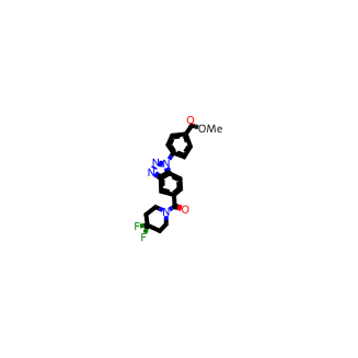 COC(=O)c1ccc(-n2nnc3cc(C(=O)N4CCC(F)(F)CC4)ccc32)cc1